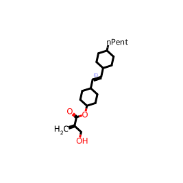 C=C(CO)C(=O)OC1CCC(/C=C/C2CCC(CCCCC)CC2)CC1